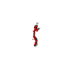 CCS(=O)(=O)Nc1ccc(Oc2cccc(OCCOCCOCCOC3CCN(c4ccc(C(=O)N[C@H]5CC[C@H](Oc6ccc(C#N)c(Cl)c6)CC5)nn4)CC3)c2)c(-c2cn(C)c(=O)c3[nH]ccc23)c1